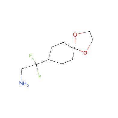 NCC(F)(F)C1CCC2(CC1)OCCO2